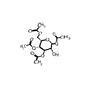 CC(=O)OC[C@H]1OC(OC(C)=O)[C@@H](O)[C@@H](OC(C)=O)[C@@H]1OC(C)=O